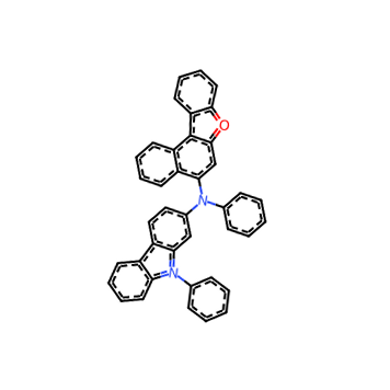 c1ccc(N(c2ccc3c4ccccc4n(-c4ccccc4)c3c2)c2cc3oc4ccccc4c3c3ccccc23)cc1